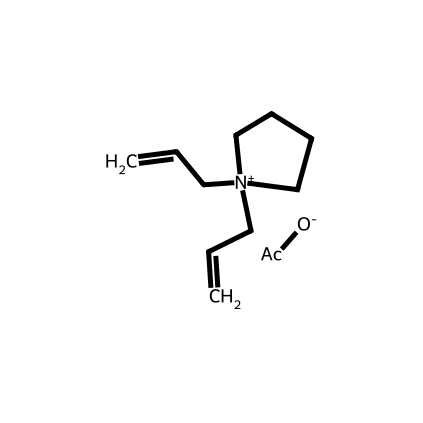 C=CC[N+]1(CC=C)CCCC1.CC(=O)[O-]